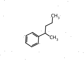 CCCC(C)c1[c]cc[c]c1